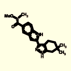 CON(C)C(=O)c1ccc2[nH]c(-c3n[nH]c4c3CCC(C)(C)C4)cc2c1